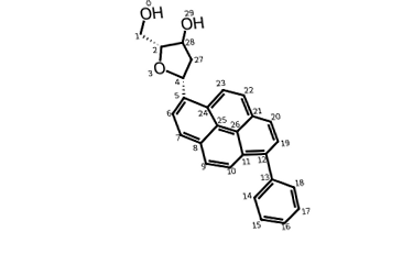 OC[C@H]1O[C@@H](c2ccc3ccc4c(-c5ccccc5)ccc5ccc2c3c54)CC1O